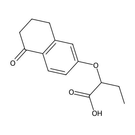 CCC(Oc1ccc2c(c1)CCCC2=O)C(=O)O